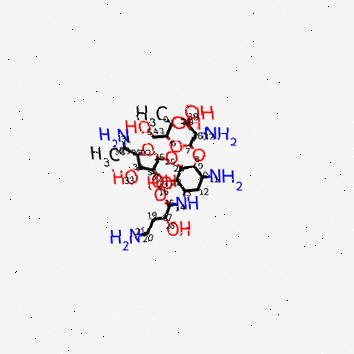 C[C@H](O)C(CO)O[C@H](O[C@@H]1C(N)C[C@@H](NC(=O)[C@@H](O)CCN)[C@@H](O)C1O[C@@H]1O[C@H]([C@H](C)N)C(O)[C@@H]1O)[C@@H](N)CO